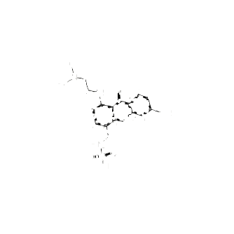 CCN(CC)CCNc1ccc(CNS(C)(=O)=O)c2sc3cc(C)ccc3c(=O)c12